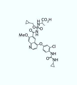 COc1cc2nccc(Oc3ccc(NC(=O)NC4CC4)c(Cl)c3)c2cc1C(=O)NP(=O)(NC(C)C(=O)O)OCC1CC1